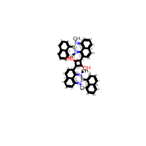 CN1B(c2cccc3ccccc23)N(C)c2c(C3C(O)C(c4ccc5cccc6c5c4N(C)B(c4cccc5ccccc45)N6C)C3O)ccc3cccc1c23